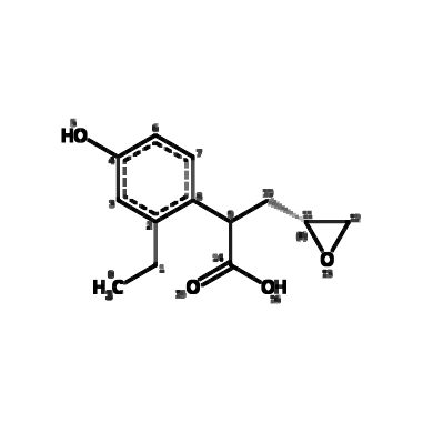 CCc1cc(O)ccc1C(C[C@@H]1CO1)C(=O)O